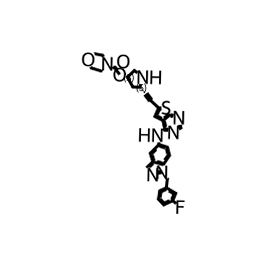 O=C(O[C@@H]1CN[C@H](C#Cc2cc3c(Nc4ccc5c(cnn5Cc5cccc(F)c5)c4)ncnc3s2)C1)N1CCOCC1